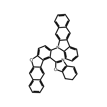 C1=Cc2nc(-c3c(-n4c5ccccc5c5cc6ccccc6cc54)ccc4oc5cc6ccccc6cc5c34)oc2CC1